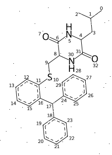 CC(C)CC1NC(=O)C(CSc2ccccc2C(c2ccccc2)c2ccccc2)NC1=O